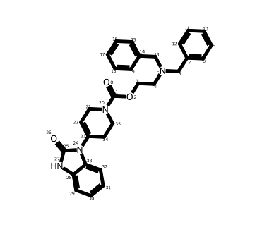 O=C(OCCN(Cc1ccccc1)Cc1ccccc1)N1CC=C(n2c(=O)[nH]c3ccccc32)CC1